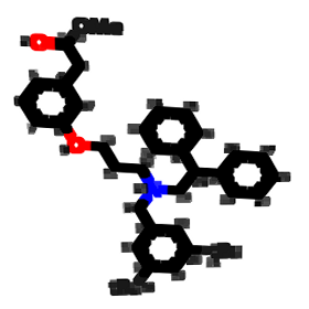 COC(=O)Cc1cccc(OCCCN(Cc2cc(C(C)(C)C)cc(C(C)(C)C)c2)CC(c2ccccc2)c2ccccc2)c1